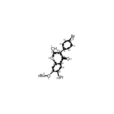 CCCCOc1cc2oc(C)c(-c3ccc(Br)cc3)c(=O)c2cc1C(C)C